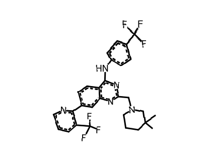 CC1(C)CCCN(Cc2nc(Nc3ccc(C(F)(F)F)cc3)c3ccc(-c4ncccc4C(F)(F)F)cc3n2)C1